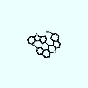 Oc1ccc2ccc3c(c2c1)C(c1ccc2sc4ccccc4c2c1)c1c(ccc2ccc(O)cc12)O3